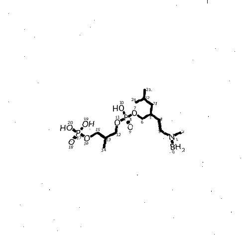 BN(C)CCC(COP(=O)(O)OCC(C)COP(=O)(O)O)CC(C)C